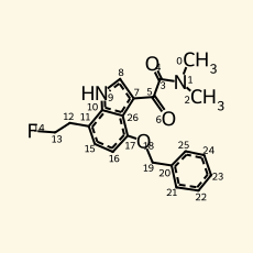 CN(C)C(=O)C(=O)c1c[nH]c2c(CCF)ccc(OCc3ccccc3)c12